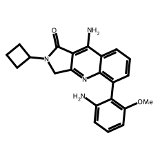 COc1cccc(N)c1-c1cccc2c(N)c3c(nc12)CN(C1CCC1)C3=O